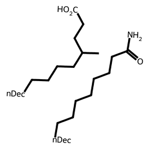 CCCCCCCCCCCCCCC(C)CCC(=O)O.CCCCCCCCCCCCCCCCCC(N)=O